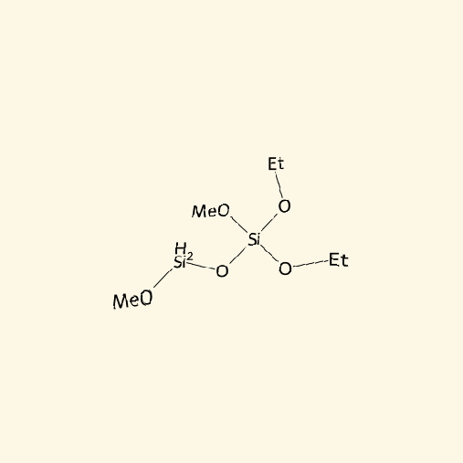 CCO[Si](OC)(OCC)O[SiH2]OC